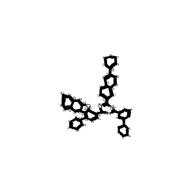 c1ccc(-c2cccc(-c3nc(-c4ccc5cc(-c6ccccc6)ccc5c4)nc(-c4ccc(-c5ccccc5)c5c4oc4cc6ccccc6cc45)n3)c2)cc1